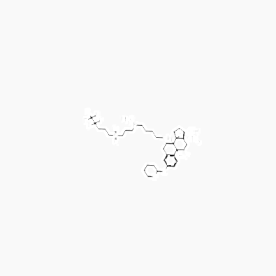 CN(CCCCC[C@@H]1Cc2cc(OC3CCCCO3)ccc2[C@@H]2[C@@H]1[C@@H]1CC[C@H](O)[C@@]1(C)C[C@@H]2F)CCCS(=O)(=O)CCCC(F)(F)C(F)(F)F